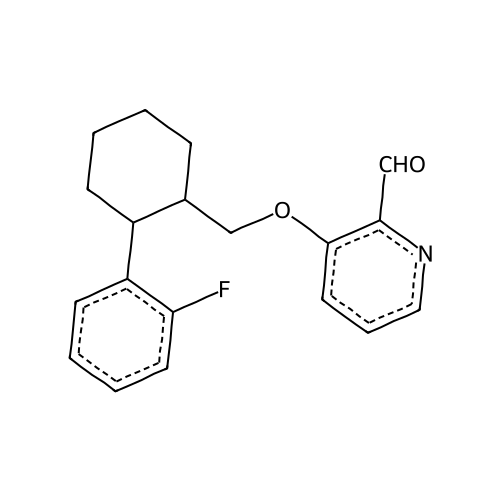 O=Cc1ncccc1OCC1CCCCC1c1ccccc1F